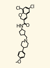 COc1ccc(C2CCN(CC3CCC(NC(=O)C4=Cc5cc(Cl)cc(Cl)c5OC4)C3)CC2)cc1